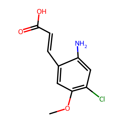 COc1cc(C=CC(=O)O)c(N)cc1Cl